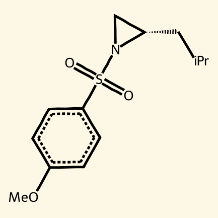 COc1ccc(S(=O)(=O)N2C[C@@H]2CC(C)C)cc1